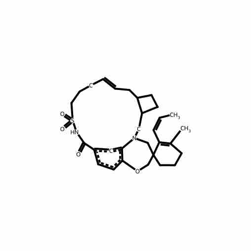 C/C=C\C1=C(C)CCCC12COc1ccc3cc1N(CC1CCC1C/C=C/CCCS(=O)(=O)NC3=O)C2